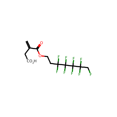 C=C(CC(=O)O)C(=O)OCCC(F)(F)C(F)(F)C(F)(F)C(F)(F)CF